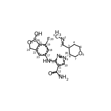 CN=CC1CCOC[C@@H]1n1cc(C(N)=O)c(Nc2cc(F)c3c(c2)COB3O)n1